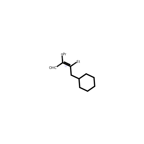 CCC/C(C=O)=C(\CC)CC1CCCCC1